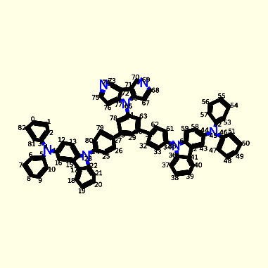 c1ccc(N(c2ccccc2)c2ccc3c(c2)c2ccccc2n3-c2ccc(-c3cc(-c4ccc(-n5c6ccccc6c6cc(N(c7ccccc7)c7ccccc7)ccc65)cc4)cc(-n4c5ccncc5c5cnccc54)c3)cc2)cc1